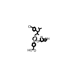 C/C(CN1CCN(c2ccc(C(=O)O)cc2)C(Oc2cnc3[nH]ccc3c2)C1)=C(\CC(C)C)c1ccc(Cl)cc1